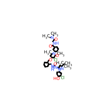 CCN(CC)C(=O)CNC(=O)c1ccc(C)c(-n2c(C)cc(OCc3ccccc3CNC(=O)Nc3cc(C(C)(C)C)nn3-c3ccc(O)c(Cl)c3)c(Cl)c2=O)c1